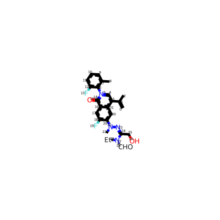 C=C(C)c1cn(-c2c(C)cccc2F)c(=O)c2cc(F)c(N(C)/N=C(/CO)N(C=O)CC)cc12